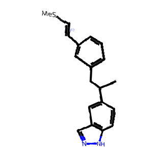 CS/C=C/c1cccc(CC(C)c2ccc3[nH]ncc3c2)c1